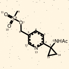 CC(=O)NC1(c2ccc(COS(C)(=O)=O)cn2)CC1